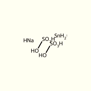 O=S(=O)(O)O.O=S(=O)(O)O.[NaH].[SnH2]